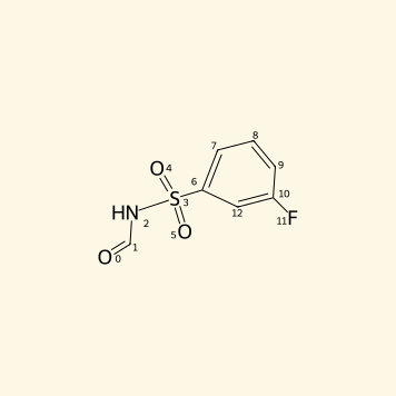 O=CNS(=O)(=O)c1cccc(F)c1